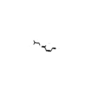 C=C/C=C\C(C)=N\CC(C)C